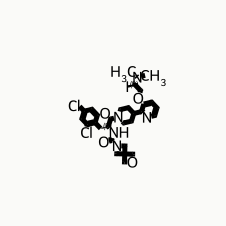 CN(C)[C@H](I)COc1cccnc1C1CCN(C(=O)[C@@H](Cc2ccc(Cl)cc2Cl)NC(=O)N2CC3(COC3)C2)CC1